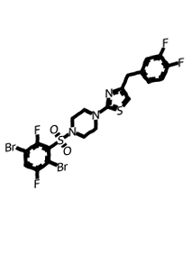 O=S(=O)(c1c(F)c(Br)cc(F)c1Br)N1CCN(c2nc(Cc3ccc(F)c(F)c3)cs2)CC1